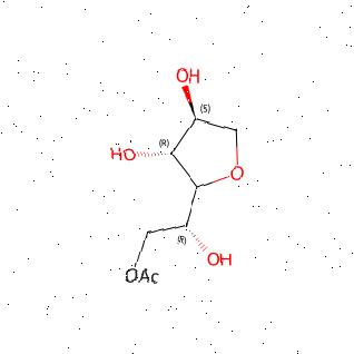 CC(=O)OC[C@@H](O)C1OC[C@H](O)[C@H]1O